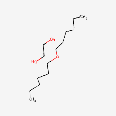 CCCCCCOCCCCCC.OCCO